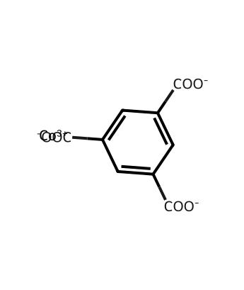 O=C([O-])c1cc(C(=O)[O-])cc(C(=O)[O-])c1.[Co+3]